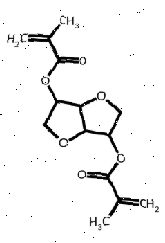 C=C(C)C(=O)OC1COC2C(OC(=O)C(=C)C)COC12